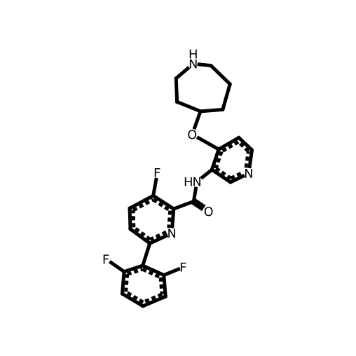 O=C(Nc1cnccc1OC1CCCNCC1)c1nc(-c2c(F)cccc2F)ccc1F